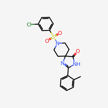 Cc1ccccc1C1=NC2(CCN(S(=O)(=O)c3cccc(Cl)c3)CC2)C(=O)N1